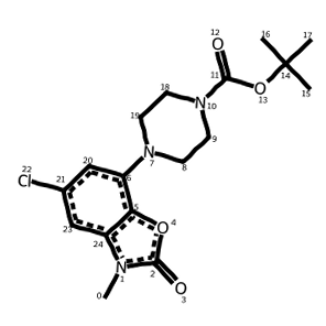 Cn1c(=O)oc2c(N3CCN(C(=O)OC(C)(C)C)CC3)cc(Cl)cc21